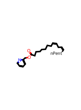 CCCCC/C=C\C/C=C\CCCCCCCC(=O)OCc1ccccn1